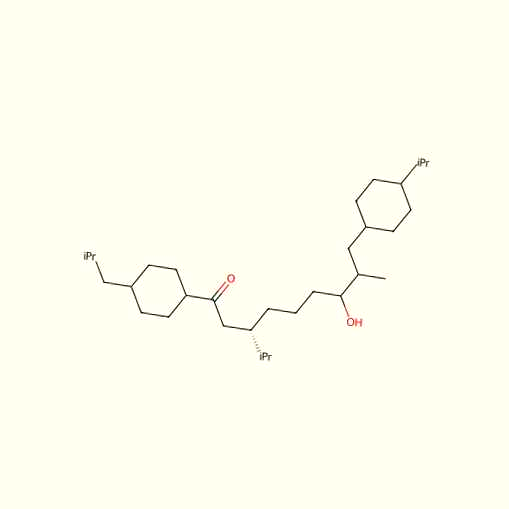 CC(C)CC1CCC(C(=O)C[C@H](CCCC(O)C(C)CC2CCC(C(C)C)CC2)C(C)C)CC1